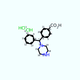 Cl.Cl.O=C(O)c1ccc(C(c2ccccc2)N2CCNCC2)cc1